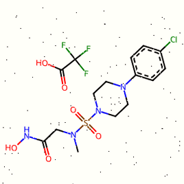 CN(CC(=O)NO)S(=O)(=O)N1CCN(c2ccc(Cl)cc2)CC1.O=C(O)C(F)(F)F